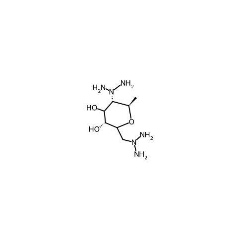 C[C@H]1OC(CN(N)N)[C@H](O)C(O)[C@@H]1N(N)N